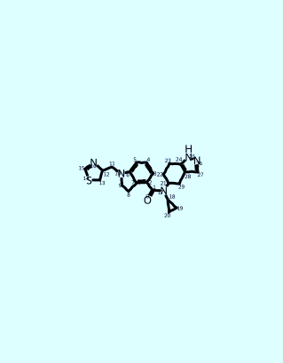 O=C(c1cccc2c1CCN2CC1CSC=N1)N(C1CC1)C1CCc2[nH]ncc2C1